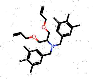 C=CCOCC(COCC=C)N(Cc1cc(C)c(C)c(C)c1)Cc1cc(C)c(C)c(C)c1